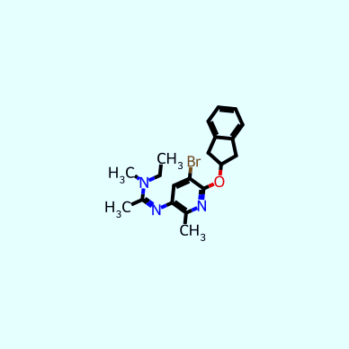 CCN(C)C(C)=Nc1cc(Br)c(OC2Cc3ccccc3C2)nc1C